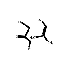 CC(=O)C=C(C)C.CC(C)CC(=O)CC(C)C